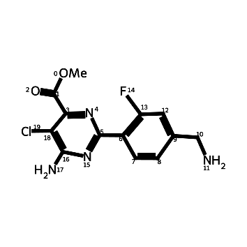 COC(=O)c1nc(-c2ccc(CN)cc2F)nc(N)c1Cl